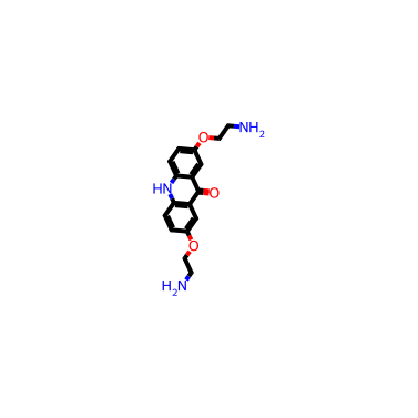 NCCOc1ccc2[nH]c3ccc(OCCN)cc3c(=O)c2c1